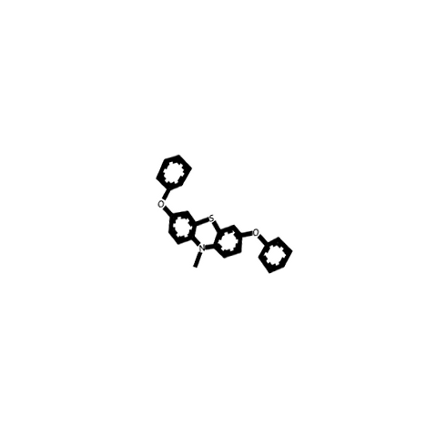 CN1c2ccc(Oc3ccccc3)cc2Sc2cc(Oc3ccccc3)ccc21